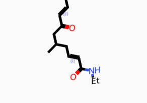 C/C=C/C(=O)CC(C)C/C=C/C(=O)NCC